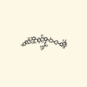 C[C@H]1CN(C2CCN(c3ccc(S(C)(=O)=O)c(C(F)(F)F)c3)CC2)CCN1c1ccc(Nc2nc(-c3ccnc(N4CCn5c(cc6c5CC(C)(C)C6)C4=O)c3CO)cn(C)c2=O)cc1C=CC(=O)NC=O